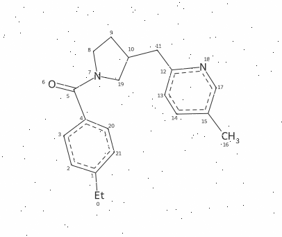 CCc1ccc(C(=O)N2CCC(Cc3ccc(C)cn3)C2)cc1